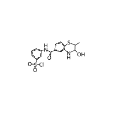 CC1Sc2ccc(C(=O)Nc3cccc(S(=O)(=O)Cl)c3)cc2NC1O